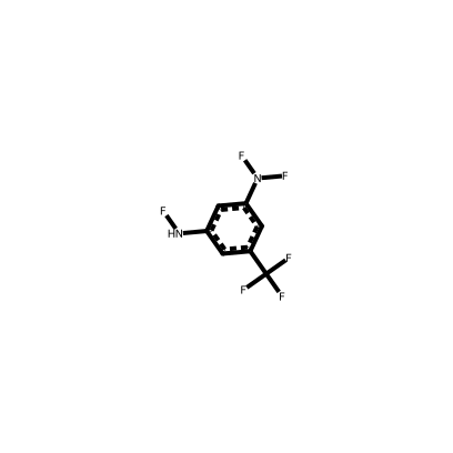 FNc1cc(N(F)F)cc(C(F)(F)F)c1